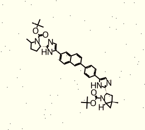 CC1CC[C@@H](c2ncc(-c3ccc4cc(-c5ccc(-c6cnc([C@@H]7C[C@]8(C)C[C@@H]8N7C(=O)OC(C)(C)C)[nH]6)cc5)ccc4c3)[nH]2)N1C(=O)OC(C)(C)C